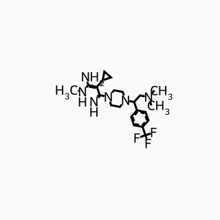 CN/C(N)=C(\C(=N)N1CCN(C(CN(C)C)c2ccc(C(F)(F)F)cc2)CC1)C1CC1